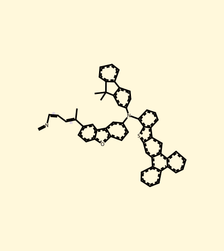 C=N/C=C\C=C(/C)c1ccc2oc3ccc(N(c4ccc5c(c4)C(C)(C)c4ccccc4-5)c4cccc5c4sc4cc6c7ccccc7c7ccccc7c6cc45)cc3c2c1